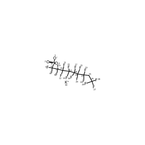 O=S(=O)([O-])C(F)(F)C(F)(F)C(F)(F)C(F)(F)C(F)(F)C(F)(F)C(F)(F)CC(F)(F)F.[K+]